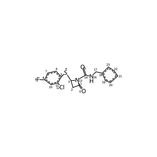 O=C1CC(Sc2ccc(F)cc2Cl)N1C(=O)NCc1ccccc1